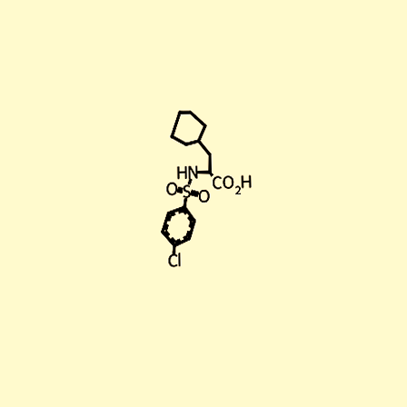 O=C(O)[C@H](CC1CCCCC1)NS(=O)(=O)c1ccc(Cl)cc1